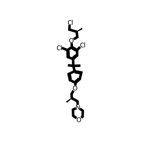 C[C@H](CCl)COc1c(Cl)cc(C(C)(C)c2ccc(OC[C@H](C)CN3CCOCC3)cc2)cc1Cl